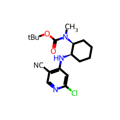 CN(C(=O)OC(C)(C)C)[C@H]1CCCC[C@H]1Nc1cc(Cl)ncc1C#N